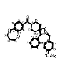 COc1ccc(CN2CC3(CCC(C(=O)c4ccc5c(c4)OCCCO5)CC3)C2c2ccccc2)cc1